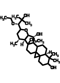 CCO[C@@H](C1C[C@@H](C)[C@H]2C(O1)[C@H](O)[C@@]1(C)C3CC[C@H]4C(C)(C)C(O)CCC45CC35CCC21C)C(C)(C)O